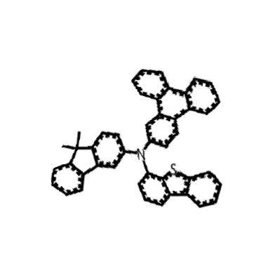 CC1(C)c2ccccc2-c2cc(N(c3ccc4c5ccccc5c5ccccc5c4c3)c3cccc4c3sc3ccccc34)ccc21